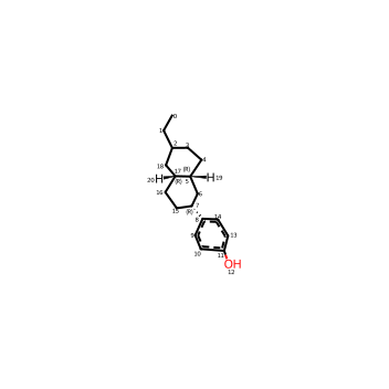 CCC1CC[C@@H]2C[C@H](c3ccc(O)cc3)CC[C@@H]2C1